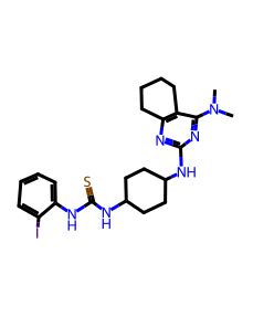 CN(C)c1nc(NC2CCC(NC(=S)Nc3ccccc3I)CC2)nc2c1CCCC2